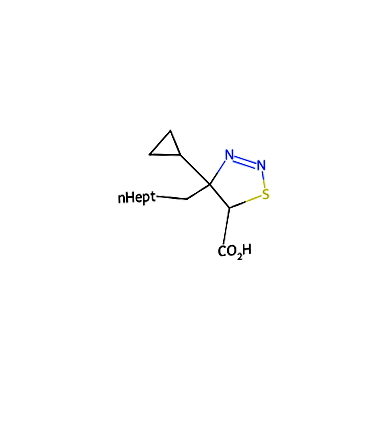 CCCCCCCCC1(C2CC2)N=NSC1C(=O)O